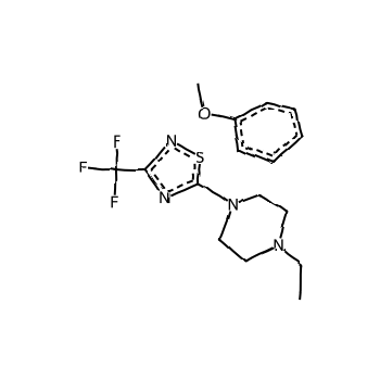 CCN1CCN(c2nc(C(F)(F)F)ns2)CC1.COc1ccccc1